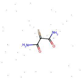 NC(=O)C(=S)C(N)=O